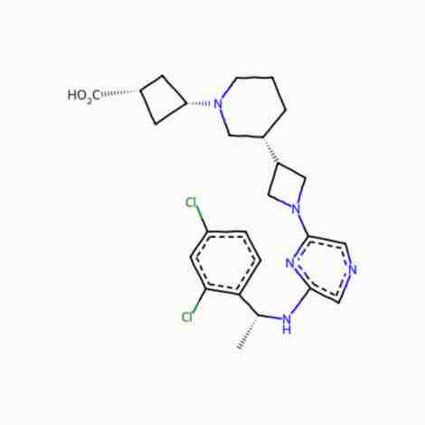 C[C@@H](Nc1cncc(N2CC([C@H]3CCCN([C@H]4C[C@@H](C(=O)O)C4)C3)C2)n1)c1ccc(Cl)cc1Cl